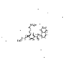 CNCCCc1cc(C(=O)Nc2cccc3ccccc23)ccc1OCCO